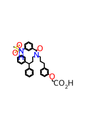 CS(=O)(=O)Nc1cccc(C(=O)N(CCCc2cccc(OCC(=O)O)c2)CCC(c2ccccc2)c2ccccc2)c1